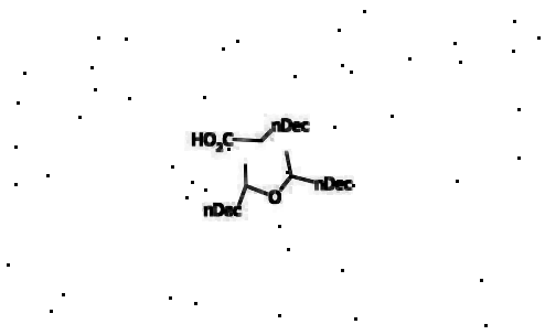 CCCCCCCCCCC(C)OC(C)CCCCCCCCCC.CCCCCCCCCCCC(=O)O